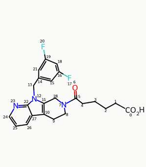 O=C(O)CCCCC(=O)N1CCc2c(n(Cc3cc(F)cc(F)c3)c3ncccc23)C1